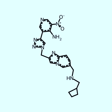 Nc1c(-c2cn(Cc3cn4cc(CNCC5CCC5)ccc4n3)nn2)cncc1[N+](=O)[O-]